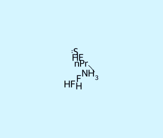 CCCC.F.F.F.N.[S]